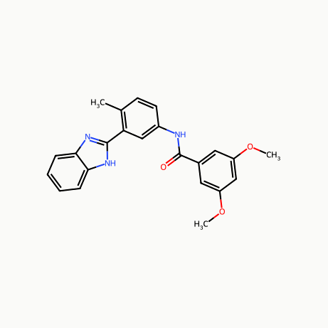 COc1cc(OC)cc(C(=O)Nc2ccc(C)c(-c3nc4ccccc4[nH]3)c2)c1